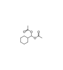 CC(=O)OC(OC(C)=O)C1CCCCC1